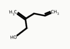 C=CCC(=C)[CH]O